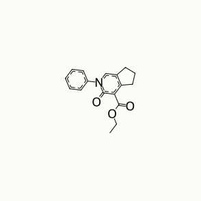 CCOC(=O)c1c2c(cn(-c3ccccc3)c1=O)CCC2